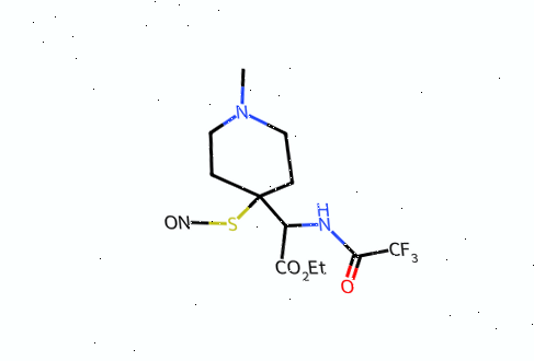 CCOC(=O)C(NC(=O)C(F)(F)F)C1(SN=O)CCN(C)CC1